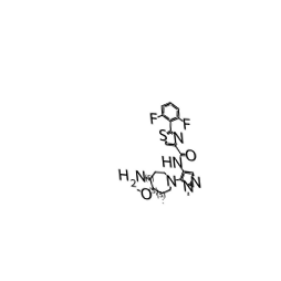 CO[C@H]1[C@@H](C)CN(c2c(NC(=O)c3csc(-c4c(F)cccc4F)n3)cnn2C)CC[C@@H]1N